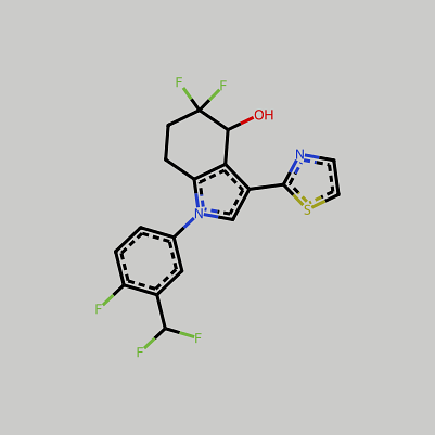 OC1c2c(-c3nccs3)cn(-c3ccc(F)c(C(F)F)c3)c2CCC1(F)F